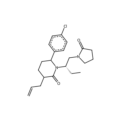 C=CCC1CCC(c2ccc(Cl)cc2)N([C@@H](CC)CN2CCCC2=O)C1=O